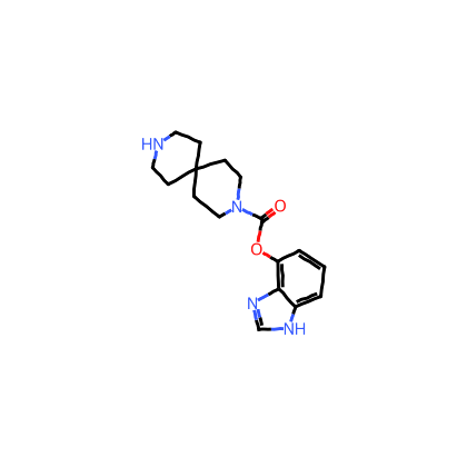 O=C(Oc1cccc2[nH]cnc12)N1CCC2(CCNCC2)CC1